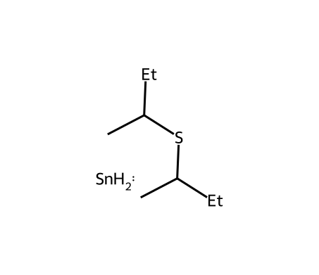 CCC(C)SC(C)CC.[SnH2]